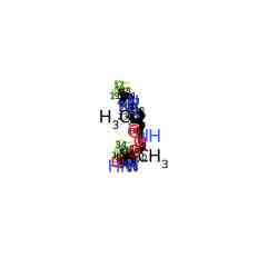 C[C@@H](CONC(=O)CC1CCN(c2ncc(C(F)(F)F)cn2)[C@@H](C)C1)Oc1cn[nH]c(=O)c1C(F)(F)F